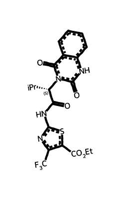 CCOC(=O)c1sc(NC(=O)[C@H](C(C)C)n2c(=O)[nH]c3ccccc3c2=O)nc1C(F)(F)F